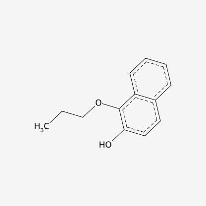 CCCOc1c(O)ccc2ccccc12